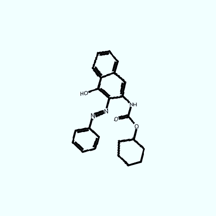 O=C(Nc1cc2ccccc2c(O)c1N=Nc1ccccc1)OC1CCCCC1